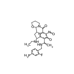 C=C(NCc1ccc(P)cc1F)c1c2n3c(c(N=O)c1=O)C(=O)N1CCCOC1C3CC2NCC